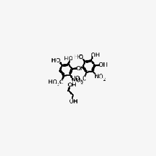 O=C(O)c1cc(O)c(O)c(O)c1[N+](=O)[O-].O=C(O)c1cc(O)c(O)c(O)c1[N+](=O)[O-].OCCO